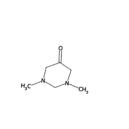 CN1CC(=O)CN(C)C1